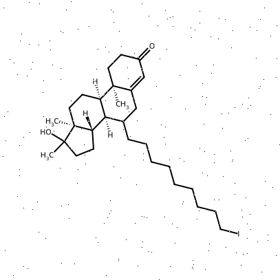 CC1(O)CC[C@H]2[C@@H]3C(CCCCCCCCCI)CC4=CC(=O)CC[C@]4(C)[C@@H]3CC[C@@]21C